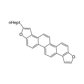 CCCCCCCc1cc2c(ccc3c2ccc2c4ccc5occc5c4ccc32)o1